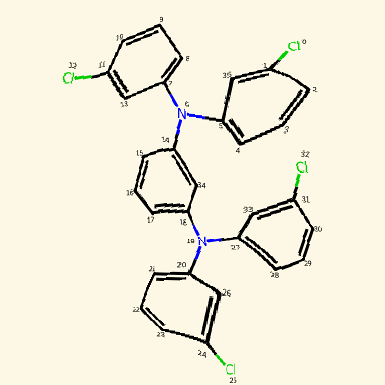 Clc1cccc(N(c2cccc(Cl)c2)c2cccc(N(c3cccc(Cl)c3)c3cccc(Cl)c3)c2)c1